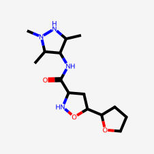 CC1NN(C)C(C)C1NC(=O)C1CC(C2CCCO2)ON1